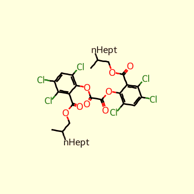 CCCCCCCC(C)COC(=O)c1c(Cl)c(Cl)cc(Cl)c1OC(=O)C(=O)Oc1c(Cl)cc(Cl)c(Cl)c1C(=O)OCC(C)CCCCCCC